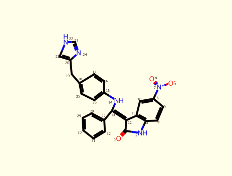 O=C1Nc2ccc([N+](=O)[O-])cc2C1=C(Nc1ccc(Cc2c[nH]cn2)cc1)c1ccccc1